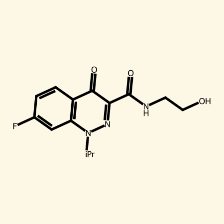 CC(C)n1nc(C(=O)NCCO)c(=O)c2ccc(F)cc21